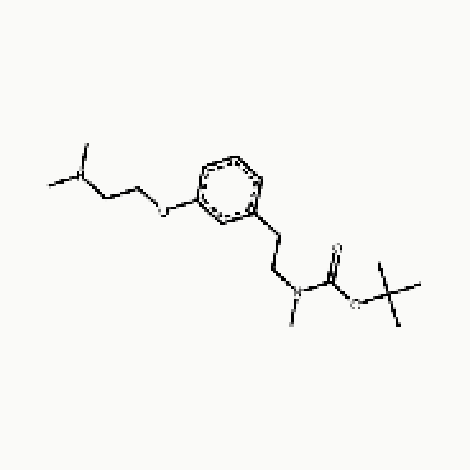 CN(C)CCOc1cccc(CCN(C)C(=O)OC(C)(C)C)c1